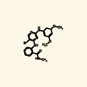 CNC(=O)c1ccccc1Nc1nc(NC2=CC(OC)=CC(OC)C2)ncc1Br